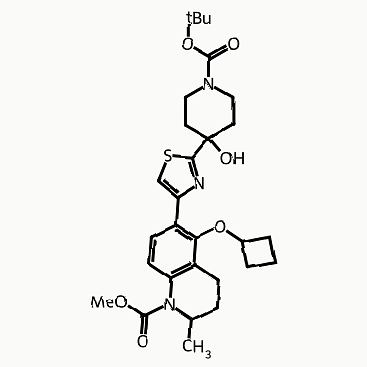 COC(=O)N1c2ccc(-c3csc(C4(O)CCN(C(=O)OC(C)(C)C)CC4)n3)c(OC3CCC3)c2CCC1C